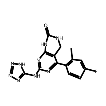 Cc1cc(F)ccc1-c1nc(Nc2nnn[nH]2)nc2c1CNC(=O)N2